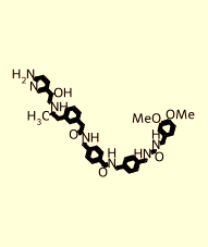 COc1ccc(CNC(=O)NCc2ccc(CNC(=O)c3ccc(CNC(=O)Cc4cccc(C[C@@H](C)NC[C@@H](O)c5ccc(N)nc5)c4)cc3)cc2)cc1OC